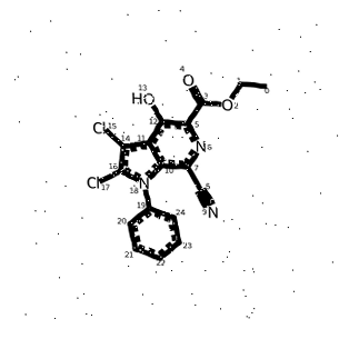 CCOC(=O)c1nc(C#N)c2c(c1O)c(Cl)c(Cl)n2-c1ccccc1